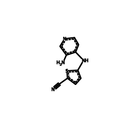 N#Cc1ccc(Nc2ccncc2N)s1